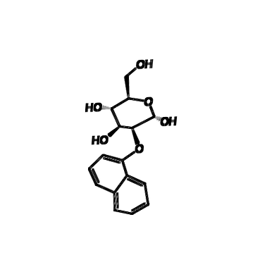 OC[C@H]1O[C@H](O)[C@@H](Oc2cccc3ccccc23)[C@@H](O)[C@@H]1O